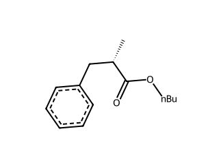 CCCCOC(=O)[C@@H](C)Cc1ccccc1